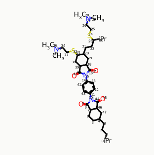 CC(C)CCCC1CCC2C(=O)N(c3ccc(N4C(=O)C5CC(CCC(SCCN(C)C)C(C)C)C(SCCN(C)C)CC5C4=O)cc3)C(=O)C2C1